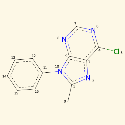 Cc1nc2c(Cl)ncnc2n1-c1ccccc1